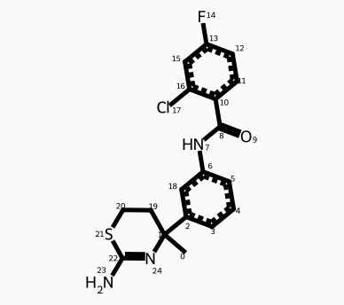 CC1(c2cccc(NC(=O)c3ccc(F)cc3Cl)c2)CCSC(N)=N1